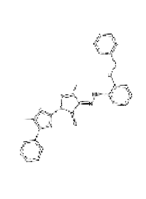 CC1=NN(c2nc(-c3ccccc3)c(C)s2)C(=O)/C1=N/Nc1ccccc1OCc1ccccc1